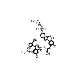 C#CCOc1cc(-n2nc3n(c2=O)CCCC3)c(Cl)cc1Cl.CS(=O)(=O)c1cc(Cl)ccc1C(=O)c1cnoc1C1CC1.C[S+](C)C.O=C(O)CNCP(=O)([O-])O